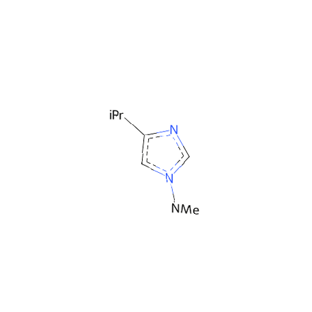 CNn1cnc(C(C)C)c1